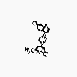 Cc1cc(N2CCN(c3ccnc4cc(Cl)ccc34)CC2)nc(Cl)n1